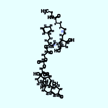 CCNC(=O)CCC/C=C\C[C@@H]1[C@@H](/C=C/[C@H](CCc2ccccc2)OC(=O)COC(=O)OCC(=O)[C@@]2(O)CC[C@H]3[C@@H]4CCC5=CC(=O)CC[C@]5(C)C4=CC[C@@]32C)[C@H](O)C[C@@H]1O